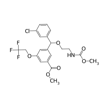 COC(=O)NCCOC(c1cccc(Cl)c1)c1cc(OCC(F)(F)F)cc(C(=O)OC)c1